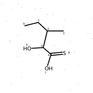 CCC(C)C(O)C(O)=S